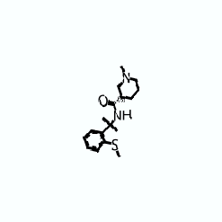 CSc1ccccc1C(C)(C)NC(=O)[C@H]1CCCN(C)C1